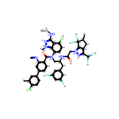 C=Nc1cc(-c2ccc(Cl)c(C)c2)ccc1C(=O)N(CC(Cc1cc(F)cc(F)c1)NC(=O)Cn1nc(C(F)F)c2c1C(F)(F)C(C)C2)c1ccc(Cl)c2c(NSC)nn(C)c12